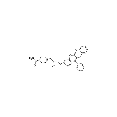 NC(=O)C1CCN(CC(O)COc2ccc3c(-c4ccccc4)c(Cc4ccccc4)c(=O)oc3c2)CC1